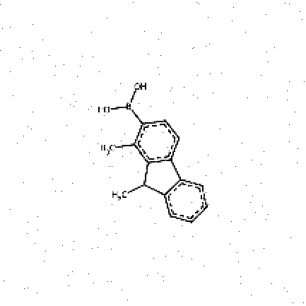 Cc1c(B(O)O)ccc2c1C(C)c1ccccc1-2